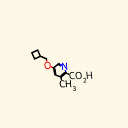 Cc1cc(OCC2CCC2)cnc1C(=O)O